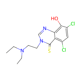 CCN(CC)CCn1cnc2c(O)c(Cl)cc(Cl)c2c1=S